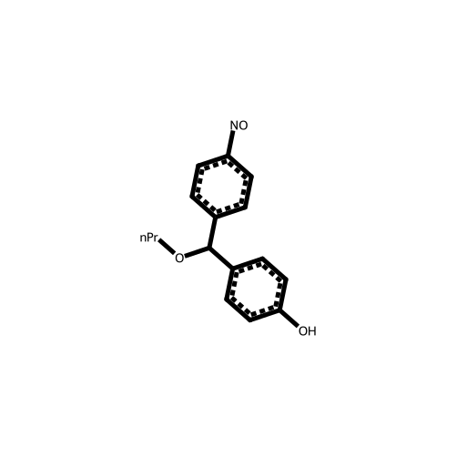 CCCOC(c1ccc(O)cc1)c1ccc(N=O)cc1